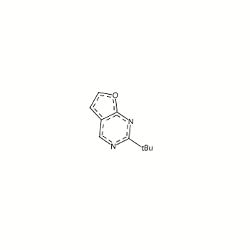 CC(C)(C)c1ncc2ccoc2n1